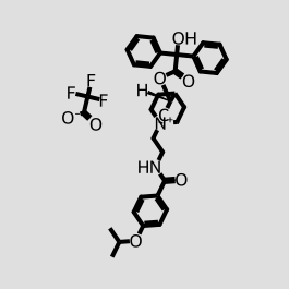 CC(C)Oc1ccc(C(=O)NCC[N+]23CCC(CC2)[C@@H](OC(=O)C(O)(c2ccccc2)c2ccccc2)C3)cc1.O=C([O-])C(F)(F)F